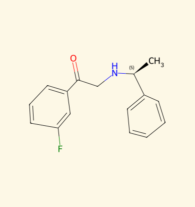 C[C@H](NCC(=O)c1cccc(F)c1)c1ccccc1